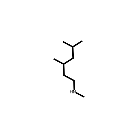 CNCCC(C)CC(C)C